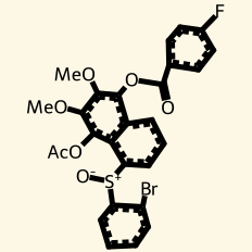 COc1c(OC)c(OC(C)=O)c2c([S+]([O-])c3ccccc3Br)cccc2c1OC(=O)c1ccc(F)cc1